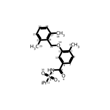 Cc1ccc(C(=O)NS(=O)(=O)C(C)C)cc1OCc1c(C)cccc1C